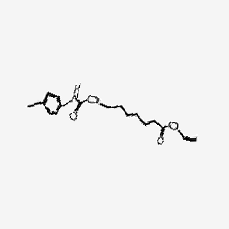 C=COC(=O)CCCCCCOC(=O)Nc1ccc(C)cc1